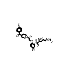 NCCC[C@H](N)C(=O)Nc1cc(Cl)ccc1OCC(=O)N1CCC(C(=O)c2ccc(F)cc2)CC1